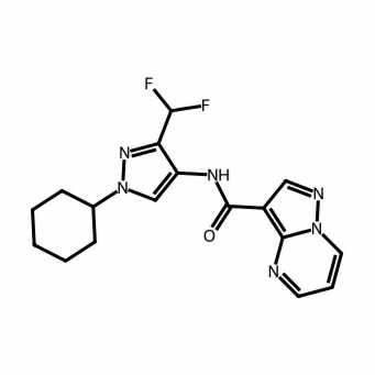 O=C(Nc1cn(C2CCCCC2)nc1C(F)F)c1cnn2cccnc12